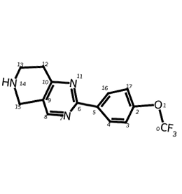 FC(F)(F)Oc1ccc(-c2ncc3c(n2)CCNC3)cc1